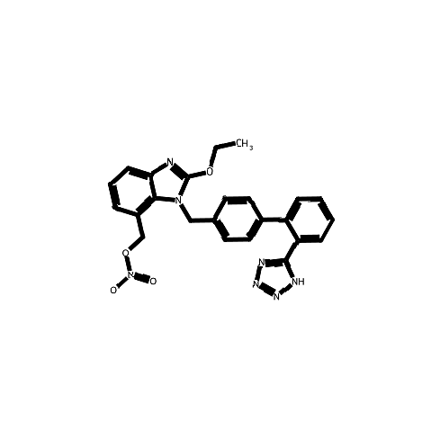 CCOc1nc2cccc(CO[N+](=O)[O-])c2n1Cc1ccc(-c2ccccc2-c2nnn[nH]2)cc1